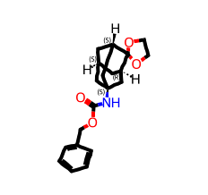 O=C(N[C@]12C[C@@H]3C[C@H](C1)C1(OCCO1)[C@@H](C3)C2)OCc1ccccc1